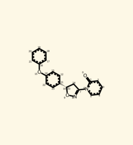 O=c1ccccn1C1=NO[C@H](c2ccc(Oc3ccccc3)cc2)C1